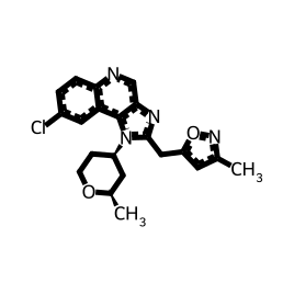 Cc1cc(Cc2nc3cnc4ccc(Cl)cc4c3n2[C@@H]2CCO[C@H](C)C2)on1